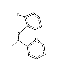 CC(Sc1cc[c]cc1F)c1ccccn1